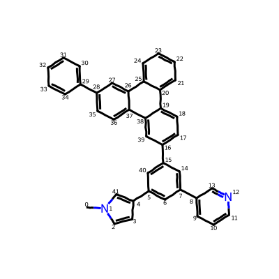 Cn1ccc(-c2cc(-c3cccnc3)cc(-c3ccc4c5ccccc5c5cc(-c6ccccc6)ccc5c4c3)c2)c1